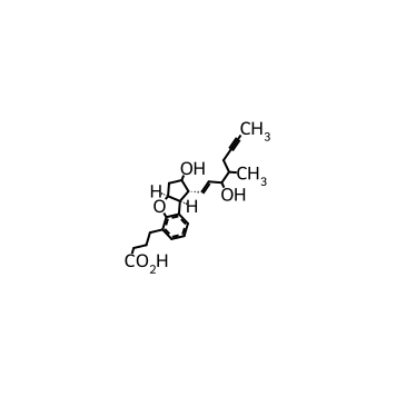 CC#CCC(C)C(O)/C=C/[C@H]1C(O)C[C@@H]2Oc3c(CCCC(=O)O)cccc3[C@@H]21